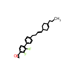 CCCC1=CCC(/C=C/CCc2ccc(-c3ccc(C4CO4)c(F)c3F)cc2)CC1